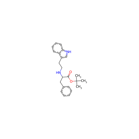 CC(C)(C)OC(=O)C(Cc1ccccc1)NCCc1c[nH]c2ccccc12